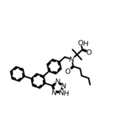 CCCCC(=O)N(Cc1ccc(-c2cc(-c3ccccc3)ccc2-c2nn[nH]n2)cc1)C(C)(C)C(=O)O